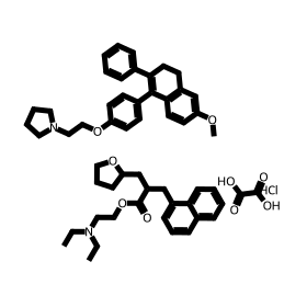 CCN(CC)CCOC(=O)C(Cc1cccc2ccccc12)CC1CCCO1.COc1ccc2c(c1)CCC(c1ccccc1)=C2c1ccc(OCCN2CCCC2)cc1.Cl.O=C(O)C(=O)O